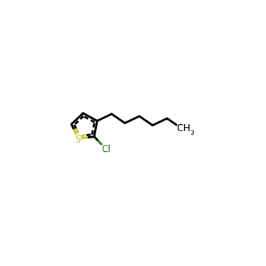 CCCCCCc1ccsc1Cl